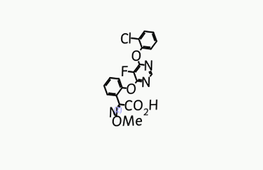 CO/N=C(\C(=O)O)c1ccccc1Oc1ncnc(Oc2ccccc2Cl)c1F